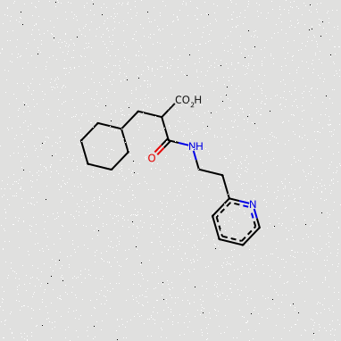 O=C(O)C(CC1CCCCC1)C(=O)NCCc1ccccn1